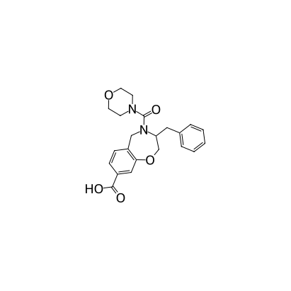 O=C(O)c1ccc2c(c1)OCC(Cc1ccccc1)N(C(=O)N1CCOCC1)C2